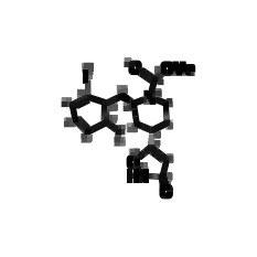 COC(=O)N1CC[C@H](c2cc(=O)[nH]o2)C[C@H]1Cc1c(F)cccc1F